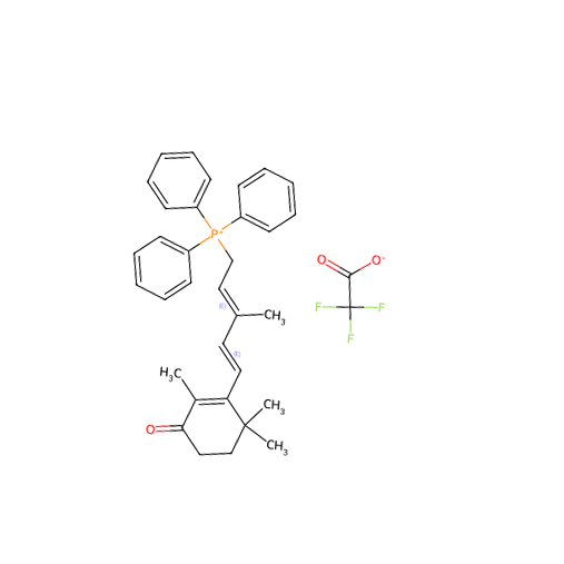 CC1=C(/C=C/C(C)=C/C[P+](c2ccccc2)(c2ccccc2)c2ccccc2)C(C)(C)CCC1=O.O=C([O-])C(F)(F)F